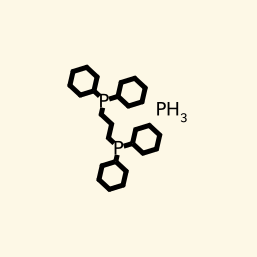 C1CCC(P(CCCP(C2CCCCC2)C2CCCCC2)C2CCCCC2)CC1.P